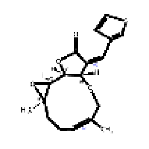 C/C1=C/CC[C@@]2(C)O[C@H]2[C@H]2OC(=O)/C(=C\c3ccsc3)[C@@H]2CC1